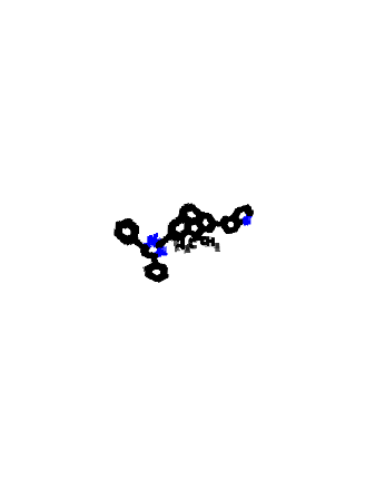 CC1(C)c2cc(-c3ccc4ncccc4c3)cc3ccc4cc(-c5nc(-c6ccccc6)cc(-c6ccccc6)n5)cc1c4c23